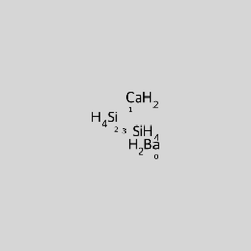 [BaH2].[CaH2].[SiH4].[SiH4]